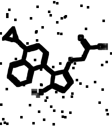 BC1=CC=C(SCC(=O)O)C1c1ccc(C2CC2)c2ccccc12